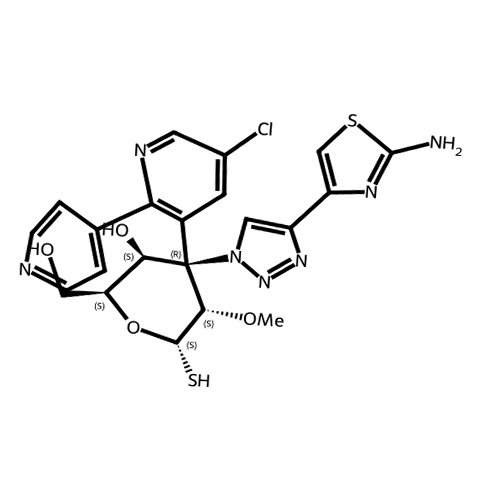 CO[C@@H]1[C@H](S)O[C@@H](CO)[C@@H](O)[C@@]1(c1cc(Cl)cnc1-c1ccncc1)n1cc(-c2csc(N)n2)nn1